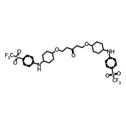 O=C(CCOC1CCC(Nc2ccc(S(=O)(=O)C(F)(F)F)cc2)CC1)CCOC1CCC(Nc2ccc(S(=O)(=O)C(F)(F)F)cc2)CC1